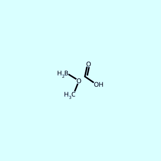 BOC.O=CO